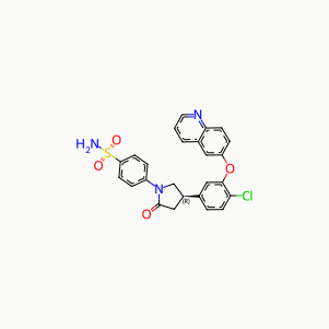 NS(=O)(=O)c1ccc(N2C[C@@H](c3ccc(Cl)c(Oc4ccc5ncccc5c4)c3)CC2=O)cc1